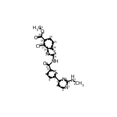 CNc1nccc(-c2ccc(C(=O)Nc3nc4c(Cl)c(C(=O)OC)ccc4s3)s2)n1